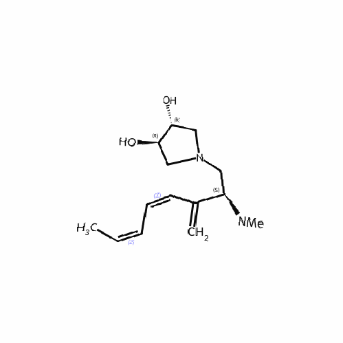 C=C(/C=C\C=C/C)[C@@H](CN1C[C@@H](O)[C@H](O)C1)NC